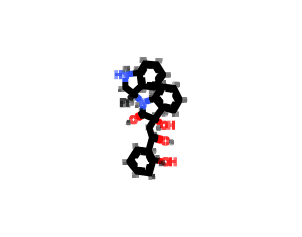 CCC1(N2C(=O)C(O)(CC(=O)c3ccccc3O)c3ccccc32)CNc2ccccc21